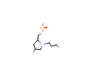 O=P(O)(O)OCC1CC(O)CN1CCCO